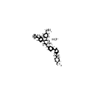 CN1CCN(S(=O)(=O)c2cncc(-c3ccc(C[C@H](N)C(=O)N(c4ccc(-c5nnn[nH]5)cc4)C(=O)[C@H]4CC[C@H](CN)CC4)cc3)c2)CC1.Cl